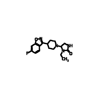 CCN1C(=O)NCC1N1CCC(c2noc3cc(F)ccc23)CC1